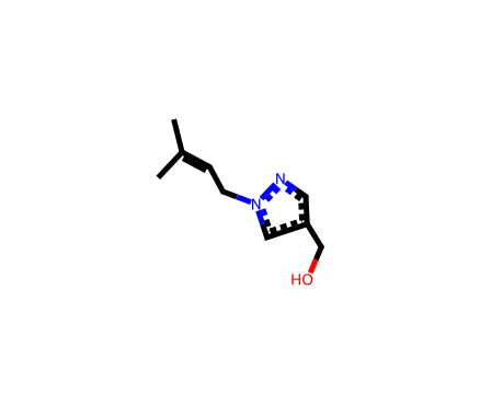 CC(C)=CCn1cc(CO)cn1